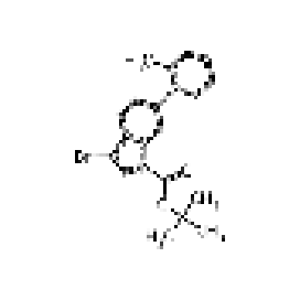 Cc1ccccc1-c1ccc2c(Br)cn(C(=O)OC(C)(C)C)c2c1